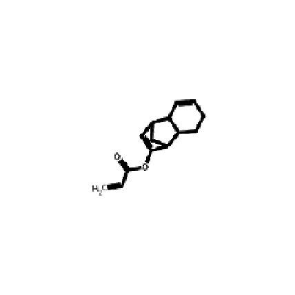 C=CC(=O)OC1=CC2CC1C1CCC=CC21